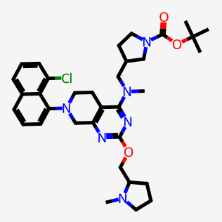 CN(CC1CCN(C(=O)OC(C)(C)C)C1)c1nc(OCC2CCCN2C)nc2c1CCN(c1cccc3cccc(Cl)c13)C2